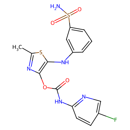 Cc1nc(OC(=O)Nc2ccc(F)cn2)c(Nc2cccc(S(N)(=O)=O)c2)s1